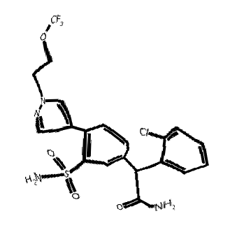 NC(=O)C(c1ccc(-c2cnn(CCOC(F)(F)F)c2)c(S(N)(=O)=O)c1)c1ccccc1Cl